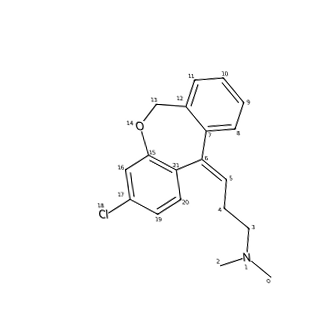 CN(C)CC/C=C1/c2ccccc2COc2cc(Cl)ccc21